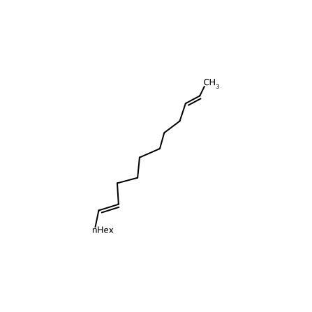 [CH2]CCCCCC=CCCCCCCC=CC